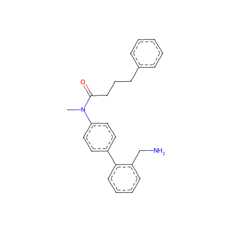 CN(C(=O)CCCc1ccccc1)c1ccc(-c2ccccc2CN)cc1